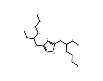 CCCCC(CC)CC1=NC(CC(CC)CCCC)=N[N]1